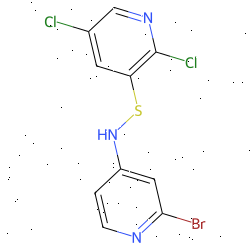 Clc1cnc(Cl)c(SNc2ccnc(Br)c2)c1